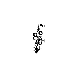 CC(C)(C)CCOc1cccc(-c2sc(NS(=O)(=O)c3cccc(NC(=O)C4(F)CC4)c3)nc2-c2ccccc2C(F)(F)F)c1